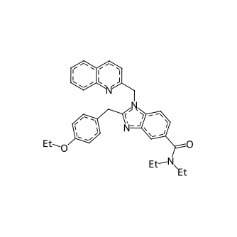 CCOc1ccc(Cc2nc3cc(C(=O)N(CC)CC)ccc3n2Cc2ccc3ccccc3n2)cc1